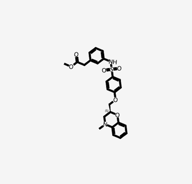 COC(=O)Cc1cccc(NS(=O)(=O)c2ccc(OC[C@@H]3CN(C)c4ccccc4O3)cc2)c1